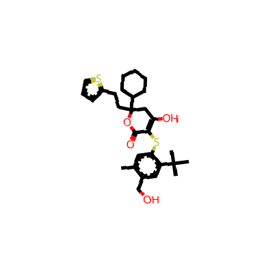 Cc1cc(SC2=C(O)CC(CCc3cccs3)(C3CCCCC3)OC2=O)c(C(C)(C)C)cc1CO